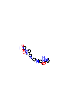 COc1cc2nn([C@H]3CC[C@H](CN4CCC(c5cccc6c5n(C)c(=O)n6C5CCC(=O)NC5=O)CC4)CC3)cc2cc1NC(=O)c1cccc(C)n1